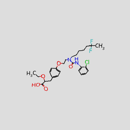 CCOC(Cc1ccc(OCCN(CCCCCC(C)(F)F)C(=O)Nc2ccccc2Cl)cc1)C(=O)O